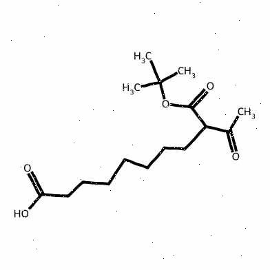 CC(=O)C(CCCCCCCC(=O)O)C(=O)OC(C)(C)C